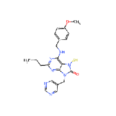 CCCc1nc(NCc2ccc(OC)cc2)c2c(n1)n(Cc1cncnc1)c(=O)n2S